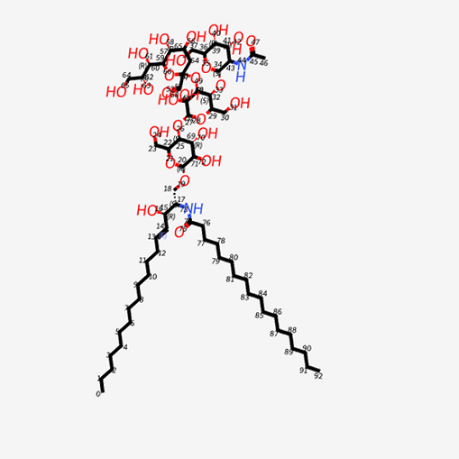 CCCCCCCCCCCCC/C=C/[C@@H](O)[C@H](CO[C@@H]1OC(CO)[C@@H](O[C@@H]2OC(CO)[C@H](O[C@@H]3OC(CO)[C@H](O)[C@H](O)C3NC(C)=O)[C@H](O[C@]3(C(=O)O)CC(O)[C@@H](O)C([C@H](O)[C@H](O)CO)O3)C2O)[C@H](O)C1O)NC(=O)CCCCCCCCCCCCCCCCC